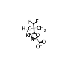 CC(C)(c1nnc(C(=O)[O-])o1)C(F)F.[K+]